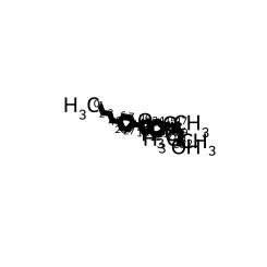 CCCCCc1ccc(-c2cc3ccc(OC(C)(C)CC(C)(C)O)cc3o2)cc1